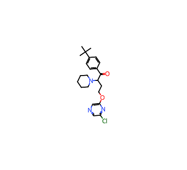 CC(C)(C)c1ccc(C(=O)C(CCOc2cncc(Cl)n2)N2CCCCC2)cc1